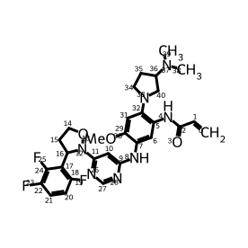 C=CC(=O)Nc1cc(Nc2cc(N3OCCC3c3c(F)ccc(F)c3F)ncn2)c(OC)cc1N1CCC(N(C)C)C1